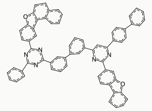 c1ccc(-c2ccc(-c3cc(-c4cccc(-c5cccc(-c6nc(-c7ccccc7)nc(-c7ccc8oc9ccc%10ccccc%10c9c8c7)n6)c5)c4)nc(-c4ccc5c(c4)oc4ccccc45)n3)cc2)cc1